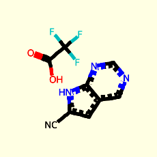 N#Cc1cc2cncnc2[nH]1.O=C(O)C(F)(F)F